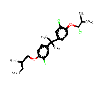 COCC(COc1ccc(C(C)(C)c2ccc(O[C@@H](Cl)C(C)OC(C)=O)c(Cl)c2)cc1Cl)OC(C)=O